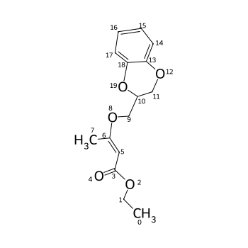 CCOC(=O)C=C(C)OCC1COc2ccccc2O1